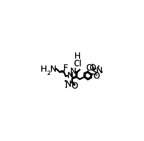 Cc1nn(CC(F)=CCN)c(C(=O)N(C)C)c1Cc1ccc(S(=O)(=O)N(C)C)c(Cl)c1.Cl